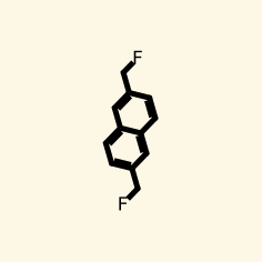 FCc1ccc2cc(CF)ccc2c1